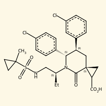 CC[C@@H](CNS(=O)(=O)C1(C)CC1)N1C(=O)[C@]2(CC2C(=O)O)C[C@H](c2cccc(Cl)c2)[C@H]1c1ccc(Cl)cc1